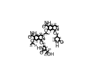 CC(C)Oc1cc2c(OCC3CCNC(=O)C3)nccc2cc1C(N)=O.CC(C)Oc1cc2c(OC[C@@H]3C[C@H](C(C)(C)O)C(=O)N3)nccc2cc1C(N)=O